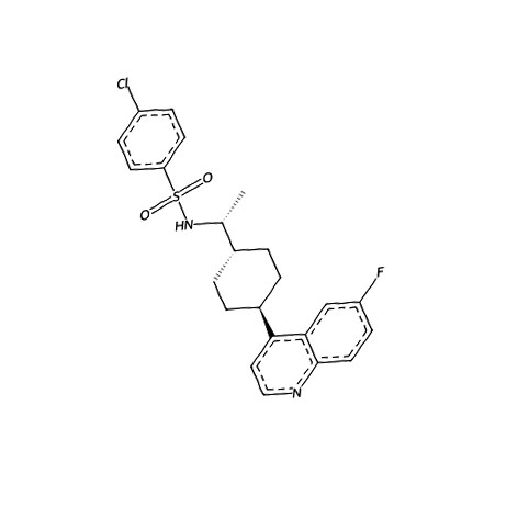 C[C@@H](NS(=O)(=O)c1ccc(Cl)cc1)[C@H]1CC[C@H](c2ccnc3ccc(F)cc32)CC1